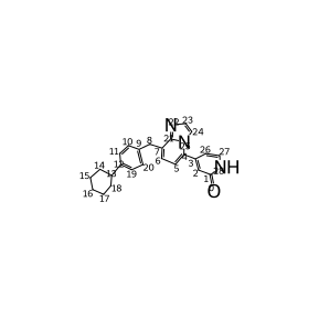 O=c1cc(-c2ccc(Cc3ccc(C4CCCCC4)cc3)c3nccn23)cc[nH]1